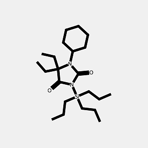 CCC[Si](CCC)(CCC)N1C(=O)N(C2CCCCC2)C(CC)(CC)C1=O